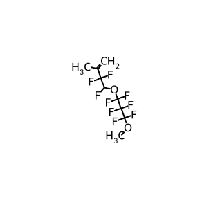 C=C(C)C(F)(F)C(F)OC(F)(F)C(F)(F)C(F)(F)OC